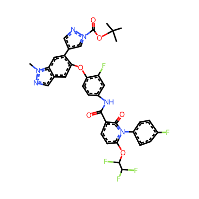 Cn1ncc2cc(Oc3ccc(NC(=O)c4ccc(OC(F)C(F)F)n(-c5ccc(F)cc5)c4=O)cc3F)c(-c3cnn(C(=O)OC(C)(C)C)c3)cc21